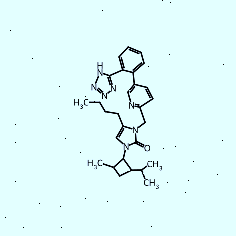 CCCCc1cn(C2C(C)CC2C(C)C)c(=O)n1Cc1ccc(-c2ccccc2-c2nnn[nH]2)cn1